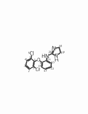 Clc1cccc(Cl)c1Oc1ccccc1NC1=NCCN1